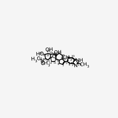 Cc1nc2cc(C3=CCC4[C@@]56CC[C@]7(C[C@H](N(C)C)[C@@H](O)[C@H](O)C7CC5(O)CC[C@]34C)O6)ccc2[nH]1